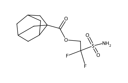 NS(=O)(=O)C(F)(F)COC(=O)C12CC3CC(CC1C3)C2